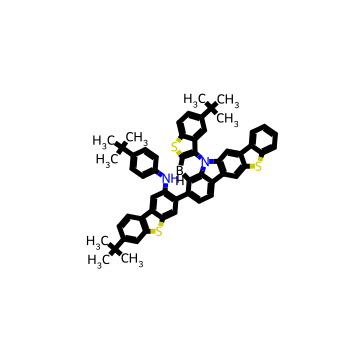 CC(C)(C)c1ccc(Nc2cc3c(cc2-c2ccc4c5cc6sc7ccccc7c6cc5n5c4c2Bc2sc4ccc(C(C)(C)C)cc4c2-5)sc2cc(C(C)(C)C)ccc23)cc1